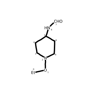 CCON1CCC(NC=O)CC1